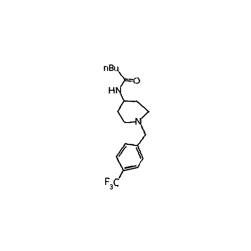 CCCCC(=O)NC1CCN(Cc2ccc(C(F)(F)F)cc2)CC1